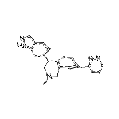 CN1Cc2cc(-c3cccnn3)ccc2C(c2ccc3cn[nH]c3c2)C1